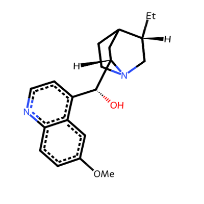 CC[C@@H]1CN2CCC1C[C@H]2[C@H](O)c1ccnc2ccc(OC)cc12